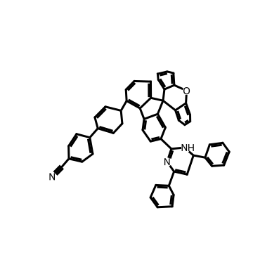 N#Cc1ccc(C2=CCC(c3cccc4c3-c3ccc(C5=NC(c6ccccc6)=CC(c6ccccc6)N5)cc3C43c4ccccc4Oc4ccccc43)C=C2)cc1